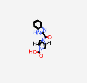 O=C(O)N1C[C@@H]2C[C@H]1CN2C(=O)c1nc2ccccc2[nH]1